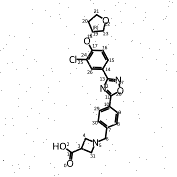 O=C(O)C1CN(Cc2ccc(-c3nc(-c4ccc(O[C@@H]5CCOC5)c(Cl)c4)no3)cc2)C1